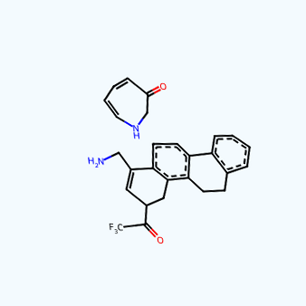 NCC1=CC(C(=O)C(F)(F)F)Cc2c1ccc1c2CCc2ccccc2-1.O=C1C=CC=CNC1